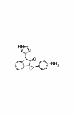 Nc1ccc([C@H]2C[C@]23C(=O)N(c2c[nH]cn2)c2ccccc23)cc1